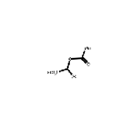 CCOC(=O)C(OC(=O)C(C)(C)C)C(C)=O